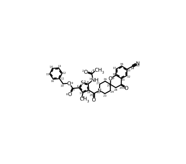 CC(=O)Nc1sc(C(=O)OCc2ccccc2)c(C)c1C(=O)N1CCC2(CC1)CC(=O)c1cc(C#N)ccc1O2